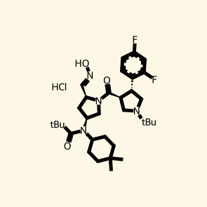 CC1(C)CCC(N(C(=O)C(C)(C)C)[C@H]2C[C@@H](/C=N/O)N(C(=O)[C@@H]3CN(C(C)(C)C)C[C@H]3c3ccc(F)cc3F)C2)CC1.Cl